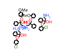 COc1ccc(OCC(O)(CCN)c2ccccc2)cc1.COc1ccccc1OCC(O)(CCN)c1ccccc1.NCCC(O)(COc1ccc(Cl)cc1)c1ccccc1.NCCC(O)(COc1ccccc1Cl)c1ccccc1